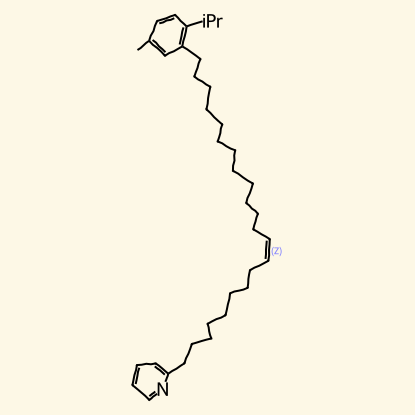 Cc1ccc(C(C)C)c(CCCCCCCCCCCC/C=C\CCCCCCCCc2ccccn2)c1